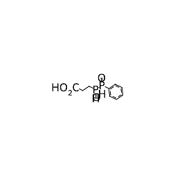 O=C(O)CC[PH](=O)[PH](=O)c1ccccc1